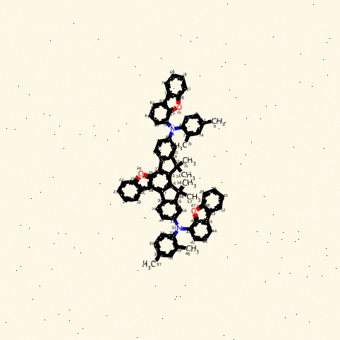 Cc1ccc(N(c2ccc3c(c2)C(C)(C)c2c4c(c5c(oc6ccccc65)c2-3)-c2ccc(N(c3ccc(C)cc3C)c3cccc5c3oc3ccccc35)cc2C4(C)C)c2cccc3c2oc2ccccc23)c(C)c1